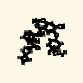 COc1cc(C#N)c(O[C@H]2CC[C@@](C)(C(=O)O)CC2)cc1C(=O)NC1C2CCC(CC2)[C@H]1C(=O)NCC1(C)CCC1